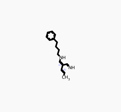 C/C=C/C(C=N)=C/NCCCCc1ccccc1